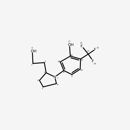 OCCC1CCCN1c1ccc(C(F)(F)F)c(O)c1